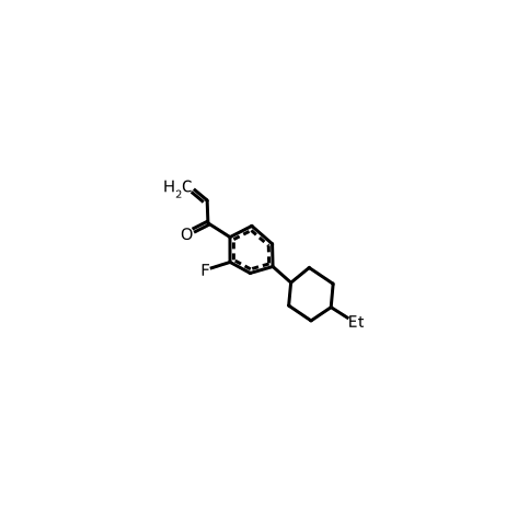 C=CC(=O)c1ccc(C2CCC(CC)CC2)cc1F